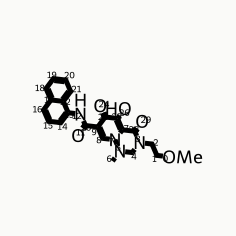 COCCN1CN(C)n2cc(C(=O)Nc3cccc4ccccc34)c(=O)c(O)c2C1=O